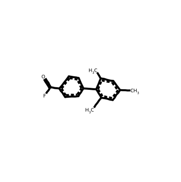 Cc1cc(C)c(-c2ccc(C(=O)F)cc2)c(C)c1